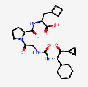 O=C(NCC(=O)N1CCC[C@H]1C(=O)N[C@@H](CC1CCC1)C(=O)O)N[C@H](C(=O)C1CC1)C1CCCCC1